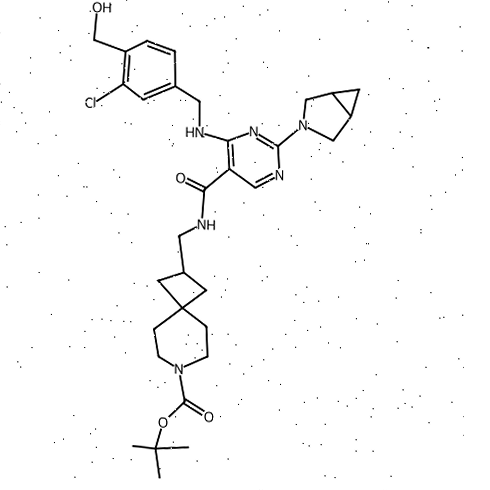 CC(C)(C)OC(=O)N1CCC2(CC1)CC(CNC(=O)c1cnc(N3CC4CC4C3)nc1NCc1ccc(CO)c(Cl)c1)C2